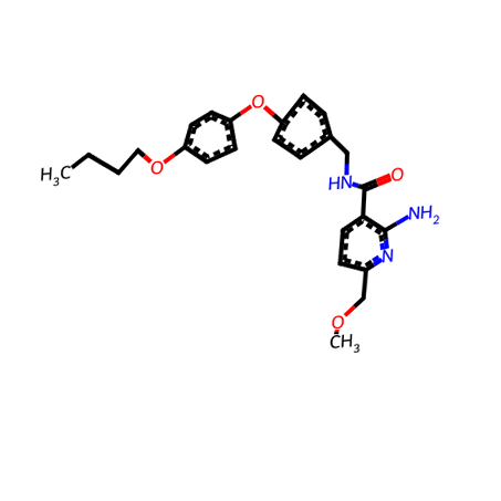 CCCCOc1ccc(Oc2ccc(CNC(=O)c3ccc(COC)nc3N)cc2)cc1